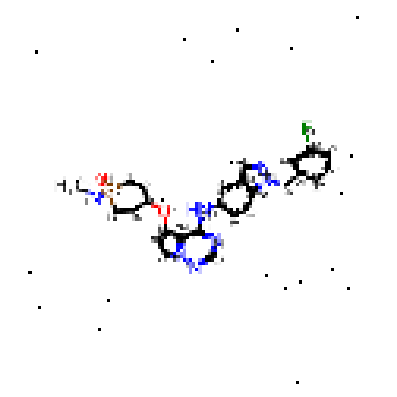 CN=S1(=O)CCC(Oc2ccn3ncnc(Nc4ccc5c(cnn5Cc5cccc(F)c5)c4)c23)CC1